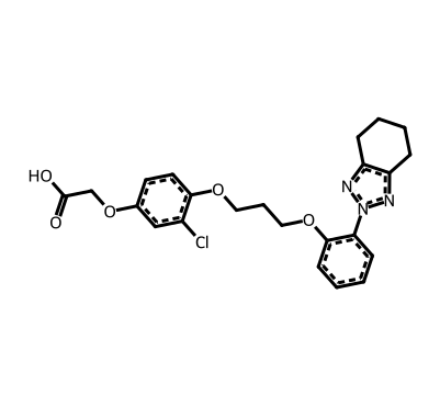 O=C(O)COc1ccc(OCCCOc2ccccc2-n2nc3c(n2)CCCC3)c(Cl)c1